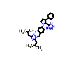 CC(C)Cc1nc(CC(C)C)n(Cc2ccc(-n3ccc(-c4ccccc4)c3-c3nnn[nH]3)cc2)n1